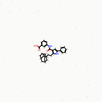 O=C(O)c1cccc(NC(=O)c2cc(-c3ccccc3)[nH]c2CCC23CC4CC(CC(C4)C2)C3)c1